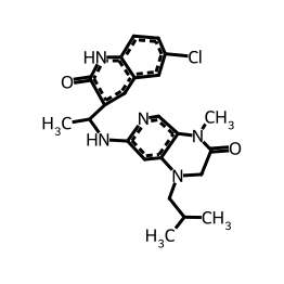 CC(C)CN1CC(=O)N(C)c2cnc(NC(C)c3cc4cc(Cl)ccc4[nH]c3=O)cc21